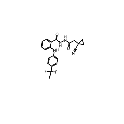 N#CC1(CC(=O)NNC(=O)c2ccccc2Nc2ccc(C(F)(F)F)cc2)CC1